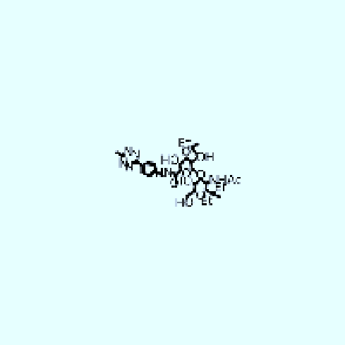 CCC(C)(C)OC1C(O)C(OC2C(O)C(CO)OC(C(C)(CC)CC)C2NC(C)=O)OC(C(=O)NCc2ccc(-c3nnc(C)nn3)cc2)C1O